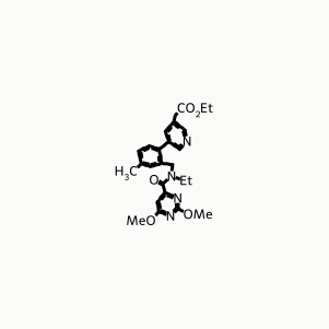 CCOC(=O)Cc1cncc(-c2ccc(C)cc2CN(CC)C(=O)c2cc(OC)nc(OC)n2)c1